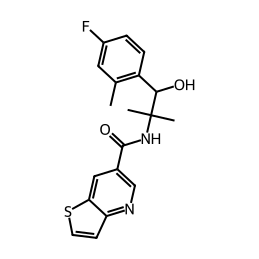 Cc1cc(F)ccc1C(O)C(C)(C)NC(=O)c1cnc2ccsc2c1